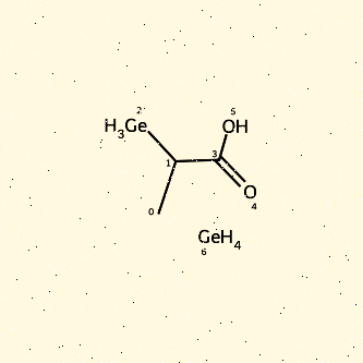 C[CH]([GeH3])C(=O)O.[GeH4]